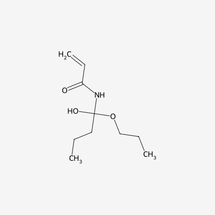 C=CC(=O)NC(O)(CCC)OCCC